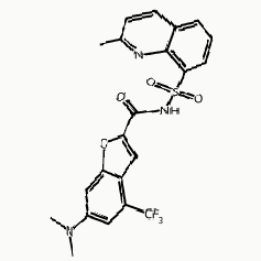 Cc1ccc2cccc(S(=O)(=O)NC(=O)c3cc4c(C(F)(F)F)cc(N(C)C)cc4o3)c2n1